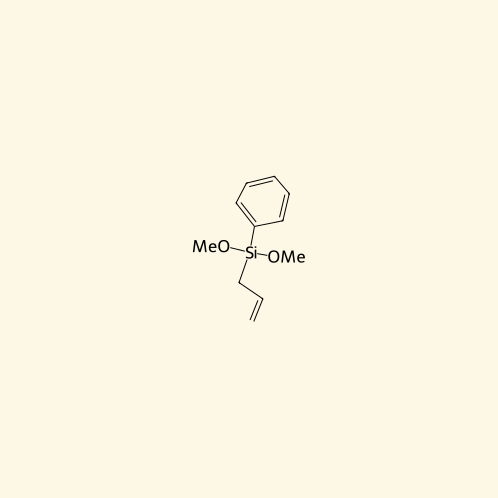 C=CC[Si](OC)(OC)c1ccccc1